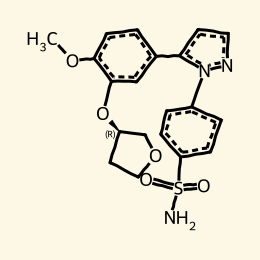 COc1ccc(-c2ccnn2-c2ccc(S(N)(=O)=O)cc2)cc1O[C@@H]1CCOC1